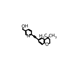 CC1(C)CCOc2ccc(C#Cc3ccc(CO)cn3)cc21